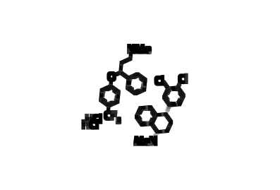 CNCCC(Oc1ccc(C(F)(F)F)cc1)c1ccccc1.CN[C@H]1CC[C@@H](c2ccc(Cl)c(Cl)c2)c2ccccc21.Cl.Cl